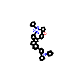 c1ccc(-c2nc(-c3ccccc3)nc(-c3cccc4oc5ccc(-c6ccc7ccc8ccc(-c9ccc%10c(c9)c9ccccc9n%10-c9ccccc9)cc8c7c6)cc5c34)n2)cc1